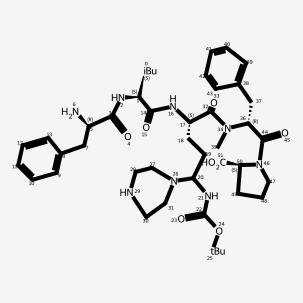 CC[C@H](C)[C@H](NC(=O)[C@H](N)Cc1ccccc1)C(=O)N[C@@H](CCC(NC(=O)OC(C)(C)C)N1CCNCC1)C(=O)N(C)[C@H](Cc1ccccc1)C(=O)N1CCC[C@H]1C(=O)O